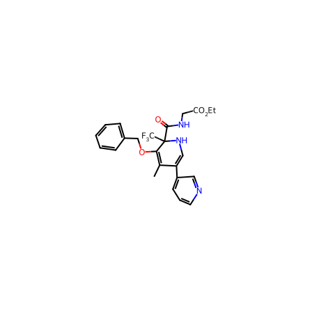 CCOC(=O)CNC(=O)C1(C(F)(F)F)NC=C(c2cccnc2)C(C)=C1OCc1ccccc1